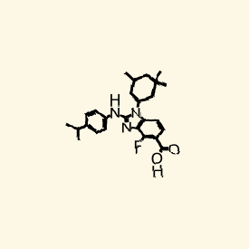 CC1CC(n2c(Nc3ccc(C(C)C)cc3)nc3c(F)c(C(=O)O)ccc32)CC(C)(C)C1